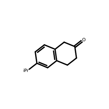 CC(C)c1ccc2c(c1)CCC(=O)C2